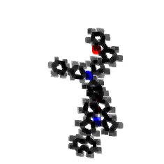 c1ccc(-c2ccc(N(c3ccc(-c4ccc(-c5ccccc5-n5c6cc(-c7ccccc7)ccc6c6ccc(-c7cccc8ccccc78)cc65)cc4)cc3)c3ccc(-c4cccc5c4oc4ccccc45)cc3)cc2)cc1